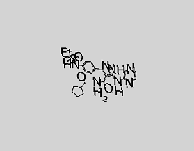 CCS(=O)(=O)Nc1ccc(-c2n[nH]c(Nc3cnccn3)c2C(N)=O)cc1OCC1CCCC1